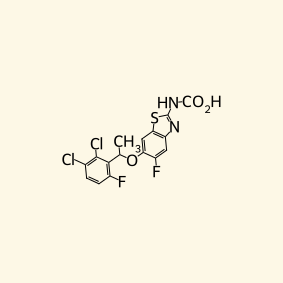 CC(Oc1cc2sc(NC(=O)O)nc2cc1F)c1c(F)ccc(Cl)c1Cl